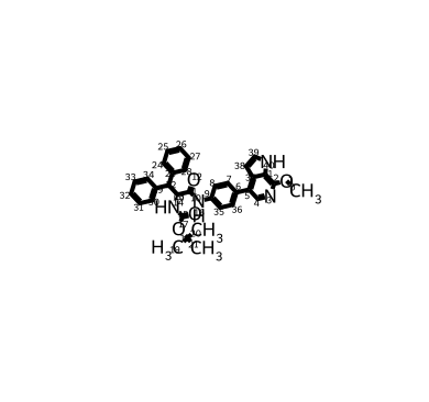 COc1ncc(-c2ccc(NC(=O)[C@@H](NC(=O)OC(C)(C)C)C(c3ccccc3)c3ccccc3)cc2)c2cc[nH]c12